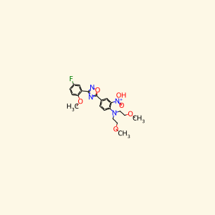 COCCN(CCOC)c1ccc(-c2nc(-c3cc(F)ccc3OC)no2)cc1[N+](=O)O